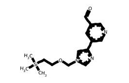 C[Si](C)(C)CCOCn1cnc(-c2cncc(C=O)c2)c1